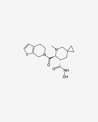 CN1CC2(CC2)C[C@H](C(=O)NO)[C@H]1C(=O)N1CCc2ccsc2C1